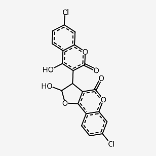 O=c1oc2cc(Cl)ccc2c(O)c1C1c2c(c3ccc(Cl)cc3oc2=O)OC1O